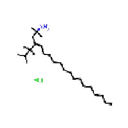 CCCCCCCCCCCCCCCC(CC(C)(C)N)C(C)(C)C(C)C.Cl